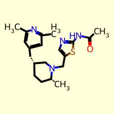 CC(=O)Nc1ncc(CN2C[C@@H](Cc3cc(C)nc(C)c3)CC[C@H]2C)s1